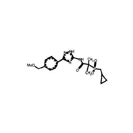 COCc1ccc(-c2n[nH]c(NC(=O)C(C)(C)S(=O)(=O)CC3CC3)n2)cc1